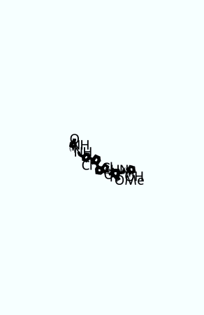 COc1nc(O[C@H]2CCc3c(-c4cccc(-c5ccc(CNC[C@@H]6CCC(=O)N6)cc5)c4Cl)cccc32)c(Cl)cc1CN[C@H]1CCC[C@H]1O